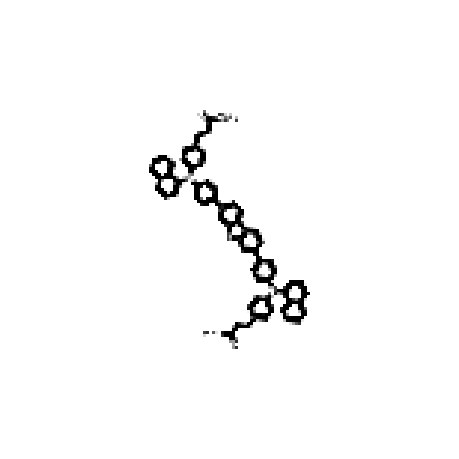 COC(=O)CCc1ccc(N(c2ccc(-c3ccc4c(c3)sc3cc(-c5ccc(N(c6ccc(CCC(=O)OC)cc6)c6cccc7ccccc67)cc5)ccc34)cc2)c2cccc3ccccc23)cc1